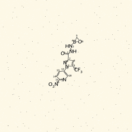 O=C(NNB1CO1)c1cc(C(F)(F)F)n(-c2ccc([N+](=O)[O-])nc2)n1